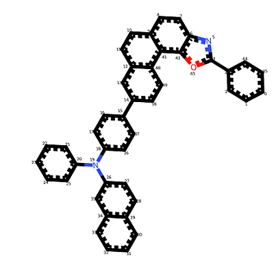 c1ccc(-c2nc3ccc4ccc5cc(-c6ccc(N(c7ccccc7)c7ccc8ccccc8c7)cc6)ccc5c4c3o2)cc1